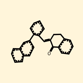 O=C1/C(=C/c2ccccc2-c2ccc3ccccc3c2)CCc2ccccc21